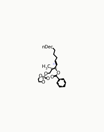 CCCCCCCCCCCCC/C=C/[C@@H](OC(=O)c1ccccc1)[C@@H](C)COP1(=O)OCCO1